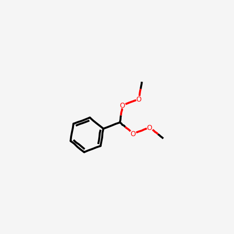 COOC(OOC)c1ccccc1